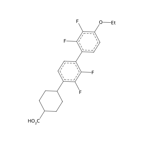 CCOc1ccc(-c2ccc(C3CCC(C(=O)O)CC3)c(F)c2F)c(F)c1F